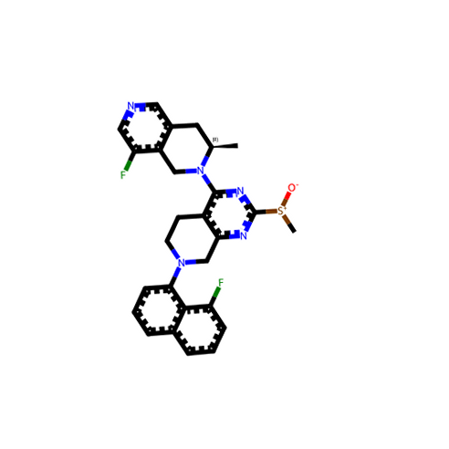 C[C@@H]1Cc2cncc(F)c2CN1c1nc([S+](C)[O-])nc2c1CCN(c1cccc3cccc(F)c13)C2